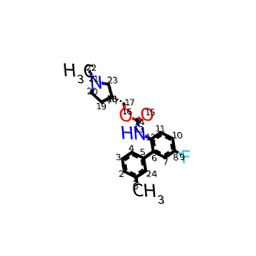 Cc1cccc(-c2cc(F)ccc2NC(=O)OC[C@@H]2CCN(C)C2)c1